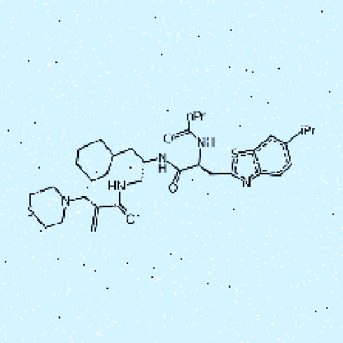 C=C(CN1CCSCC1)C(=O)NC[C@H](CC1CCCCC1)NC(=O)[C@H](Cc1nc2ccc(C(C)C)cc2s1)NC(=O)CCC